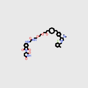 Cc1cccc(F)c1CN1CC(c2ccc(C/C3=C/CC/C(CC(=O)COCCOCCNC(=O)CNc4ccc5c(c4)C(=O)N(C4CCC(=O)NC4=O)C5=O)=C\CC3)cc2)[C@@H](N(C)C)C1